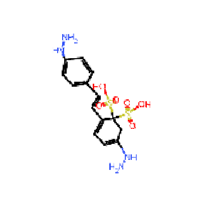 NNC1=CC=C(C=Cc2ccc(NN)cc2)C(S(=O)(=O)O)(S(=O)(=O)O)C1